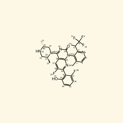 Cc1ccnc(C(C)C(F)(F)F)c1-n1c(=O)nc(N2C[C@@H](C)NC[C@@H]2C)c2cc(F)c(-c3c(O)cccc3F)nc21